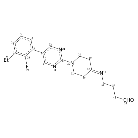 CCc1cccc(-c2cnc(N3CCC(=NCCCC=O)CC3)nc2)c1F